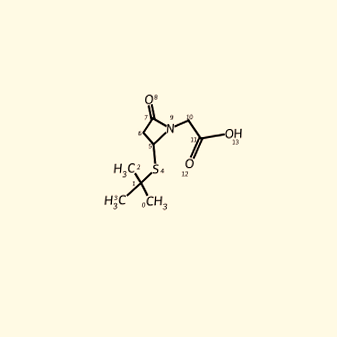 CC(C)(C)SC1CC(=O)N1CC(=O)O